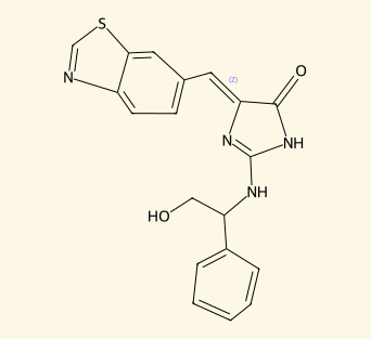 O=C1NC(NC(CO)c2ccccc2)=N/C1=C\c1ccc2ncsc2c1